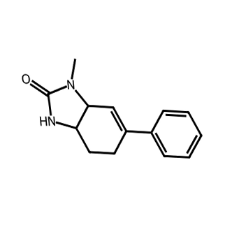 CN1C(=O)NC2CCC(c3ccccc3)=CC21